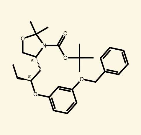 CC[C@@H](C[C@@H]1COC(C)(C)N1C(=O)OC(C)(C)C)Oc1cccc(OCc2ccccc2)c1